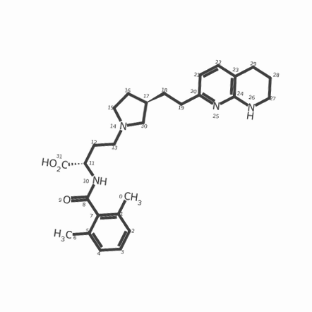 Cc1cccc(C)c1C(=O)N[C@@H](CCN1CC[C@@H](CCc2ccc3c(n2)NCCC3)C1)C(=O)O